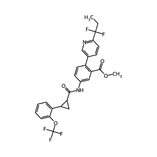 CCC(F)(F)c1ccc(-c2ccc(NC(=O)C3CC3c3ccccc3OC(F)(F)F)cc2C(=O)OC)cn1